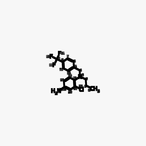 CCCN(Cc1ccc(C(F)(F)F)cc1)c1ccc(N)cc1Cl